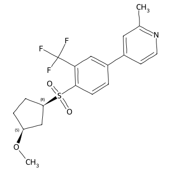 CO[C@H]1CC[C@@H](S(=O)(=O)c2ccc(-c3ccnc(C)c3)cc2C(F)(F)F)C1